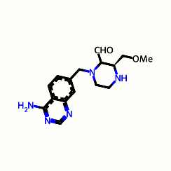 COC[C@H]1NCCN(Cc2ccc3c(N)ncnc3c2)C1C=O